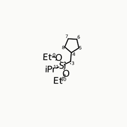 CCO[Si]([CH]C1CCCC1)(OCC)C(C)C